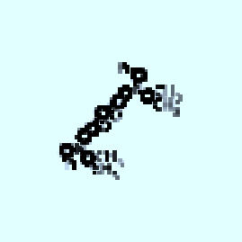 Cc1ccc(N(c2cccc(C(C)C)c2)c2ccc3cc4c(cc3c2)oc2c4ccc3c4cc5ccc(N(c6cccc(C(C)C)c6)c6ccc(C)c(C)c6)cc5cc4oc32)cc1C